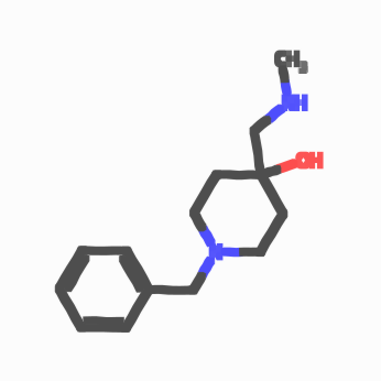 CNCC1(O)CCN(Cc2ccccc2)CC1